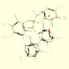 Cc1cc(C(C)(C)C)c(O)c(C)c1CC(Cc1c(C)cc(C(C)(C)C)c(O)c1C)(C(C)OP(=O)(Cc1cc(C(C)(C)C)c(O)c(C(C)(C)C)c1)Oc1ccccc1)C(C)OP(=O)(Cc1cc(C(C)(C)C)c(O)c(C(C)(C)C)c1)Oc1ccccc1